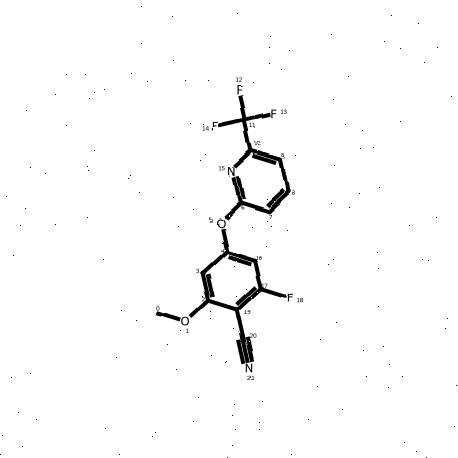 COc1cc(Oc2cccc(C(F)(F)F)n2)cc(F)c1C#N